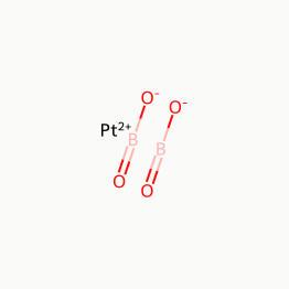 O=B[O-].O=B[O-].[Pt+2]